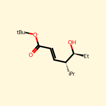 CC[C@H](O)[C@@H](/C=C/C(=O)OC(C)(C)C)C(C)C